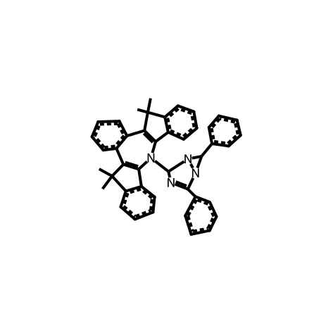 CC1(C)C2=C(c3ccccc31)N(C1N=C(c3ccccc3)N3C(c4ccccc4)N13)C1=C(c3ccccc32)C(C)(C)c2ccccc21